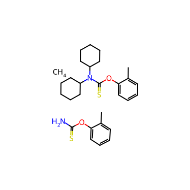 C.Cc1ccccc1OC(=S)N(C1CCCCC1)C1CCCCC1.Cc1ccccc1OC(N)=S